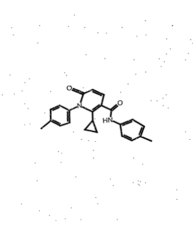 Cc1ccc(NC(=O)c2ccc(=O)n(-c3ccc(C)cc3)c2C2CC2)cc1